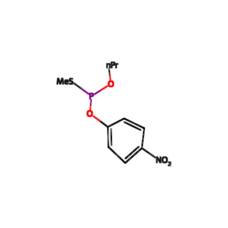 CCCOP(Oc1ccc([N+](=O)[O-])cc1)SC